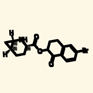 O=C1c2ccc(Br)cc2CCC1OC(=O)[C@@H]1CC[C@H]2C[C@H]2N1